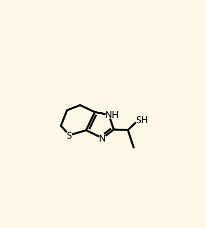 CC(S)c1nc2c([nH]1)CCCS2